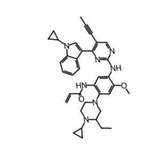 C=CC(=O)Nc1cc(Nc2ncc(C#CC)c(-c3cn(C4CC4)c4ccccc34)n2)c(OC)cc1N1CCN(C2CC2)C(CC)C1